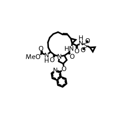 COC(=O)NC1CCCCC/C=C/C2CC2(C(=O)NS(=O)(=O)C2CC2)NC(=O)C2CC(Oc3nccc4ccccc34)CN2C1=O